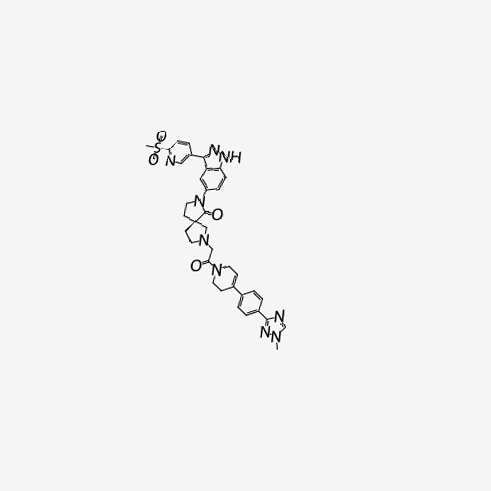 Cn1cnc(-c2ccc(C3=CCN(C(=O)CN4CC[C@]5(CCN(c6ccc7[nH]nc(-c8ccc(S(C)(=O)=O)nc8)c7c6)C5=O)C4)CC3)cc2)n1